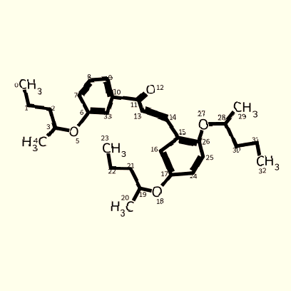 CCCC(C)Oc1cccc(C(=O)C=Cc2cc(OC(C)CCC)ccc2OC(C)CCC)c1